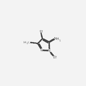 CCc1c(C)nn(CC)c1N